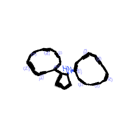 C1=C\C=C/C=C\C(NC2CCCC2C2=C/C=C\C=C/C=C\C=C/C=C\2)=C/C=C\C=C/1